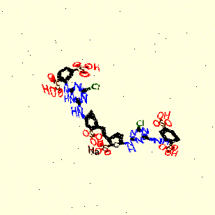 O=S(=O)(O)c1ccc(S(=O)(=O)O)c(Nc2nc(Cl)nc(Nc3ccc(C=Cc4ccc(Nc5nc(Cl)nc(Nc6cc(S(=O)(=O)O)ccc6S(=O)(=O)O)n5)cc4S(=O)(=O)O)c(S(=O)(=O)O)c3)n2)c1.[Na]